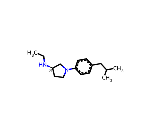 CCN[C@@H]1CCN(c2ccc(CC(C)C)cc2)C1